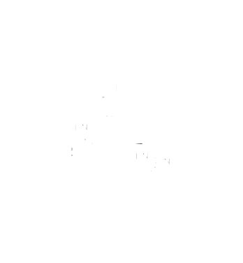 NS(=O)(=O)NC[C@H]1C[C@H](c2c(-c3ccc(F)cc3)[nH]c3c(F)cc(F)cc32)C1